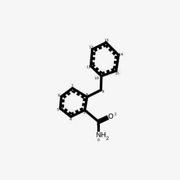 NC(=O)c1ccccc1Cc1ccccc1